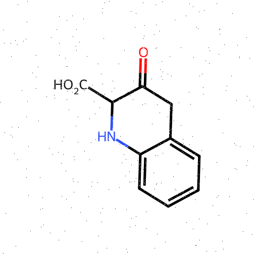 O=C(O)C1Nc2ccccc2CC1=O